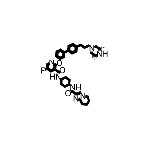 C[C@@H]1CN(CCCc2ccc(-c3cccc(Oc4ncc(F)cc4C(=O)N[C@H]4CC[C@@H](NC(=O)c5cn6c(n5)CCCC6)CC4)c3)cc2)C[C@H](C)N1